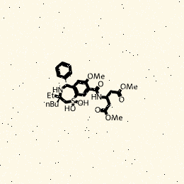 CCCC[C@]1(CC)CS(O)(O)c2cc(C(=O)NC(CC(=O)OC)CC(=O)OC)c(OC)cc2[C@@H](c2ccccc2)N1